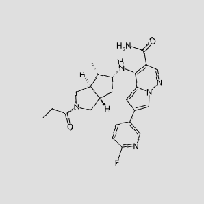 CCC(=O)N1C[C@H]2C[C@@H](Nc3c(C(N)=O)cnn4cc(-c5ccc(F)nc5)cc34)[C@@H](C)[C@@H]2C1